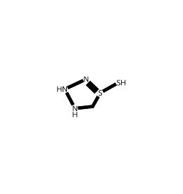 SS1=NNNC1